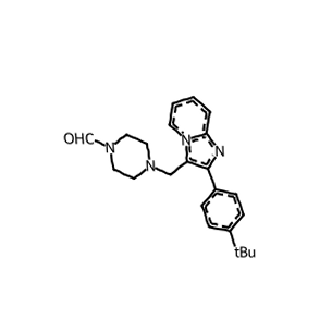 CC(C)(C)c1ccc(-c2nc3ccccn3c2CN2CCN(C=O)CC2)cc1